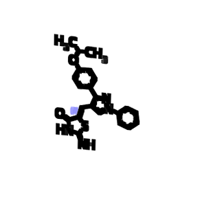 CC(C)Oc1ccc(-c2nn(-c3ccccc3)cc2/C=C2\SC(=N)NC2=O)cc1